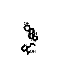 CC(O)c1cccnc1CCC(C)[C@H]1CC[C@H]2[C@@H]3CC=C4C[C@@H](O)CC[C@]4(C)[C@H]3CC[C@]12C